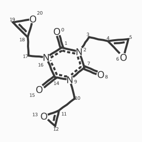 O=c1n(CC2=CO2)c(=O)n(CC2=CO2)c(=O)n1CC1=CO1